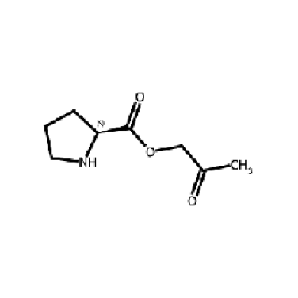 CC(=O)COC(=O)[C@@H]1CCCN1